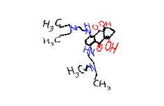 CCCN(CCC)CCNc1ccc(NCCN(CCC)CCC)c2c1C(=O)c1c(O)ccc(O)c1C2=O